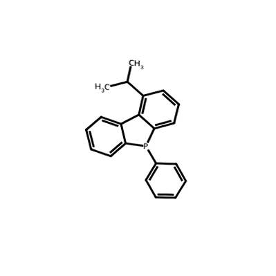 CC(C)c1cccc2c1c1ccccc1p2-c1ccccc1